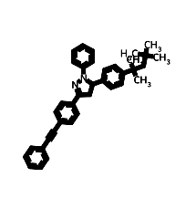 CC(C)(C)CC(C)(C)c1ccc(C2CC(c3ccc(C#Cc4ccccc4)cc3)=NN2c2ccccc2)cc1